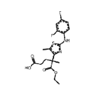 CCOC(=O)C(C)(CCC(=O)O)c1nc(Nc2ccc(F)cc2F)sc1C